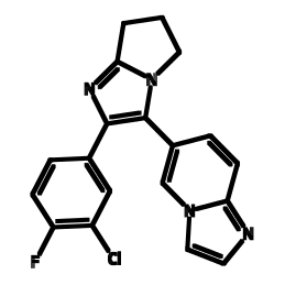 Fc1ccc(-c2nc3n(c2-c2ccc4nccn4c2)CCC3)cc1Cl